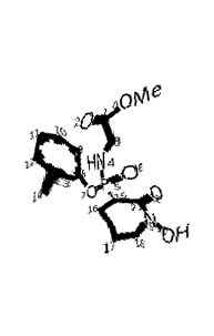 COC(=O)CNP(=O)(Oc1ccccc1C)[C@H]1CCCN(O)C1=O